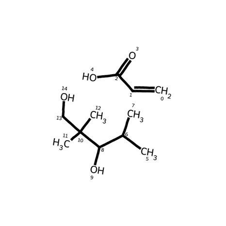 C=CC(=O)O.CC(C)C(O)C(C)(C)CO